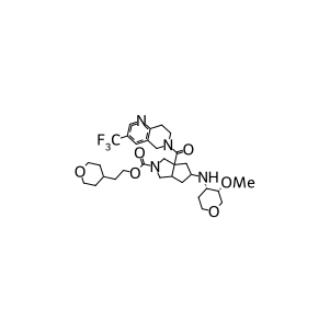 CO[C@@H]1COCC[C@@H]1NC1CC2CN(C(=O)OCCC3CCOCC3)CC2(C(=O)N2CCc3ncc(C(F)(F)F)cc3C2)C1